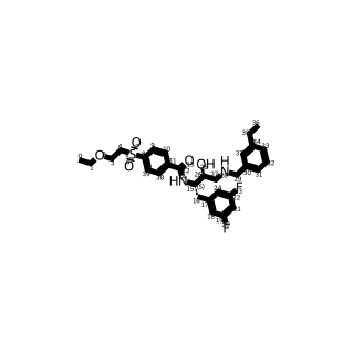 CCOCCS(=O)(=O)c1ccc(C(=O)N[C@@H](Cc2cc(F)cc(F)c2)[C@@H](O)CNCc2cccc(CC)c2)cc1